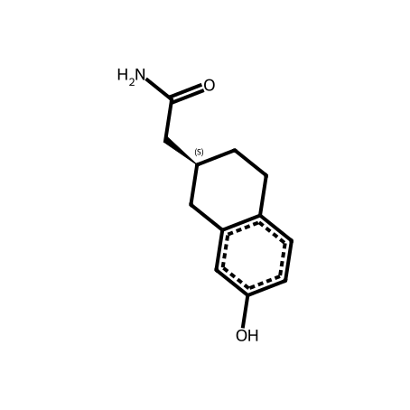 NC(=O)C[C@H]1CCc2ccc(O)cc2C1